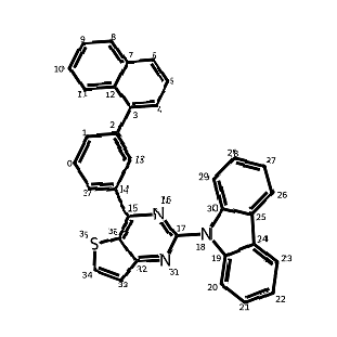 c1cc(-c2cccc3ccccc23)cc(-c2nc(-n3c4ccccc4c4ccccc43)nc3ccsc23)c1